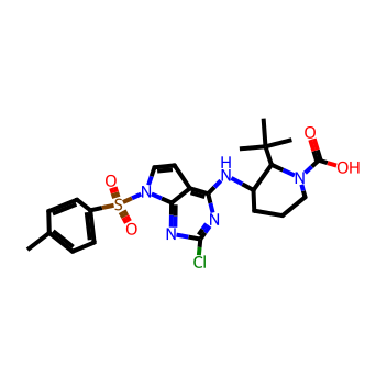 Cc1ccc(S(=O)(=O)n2ccc3c(NC4CCCN(C(=O)O)C4C(C)(C)C)nc(Cl)nc32)cc1